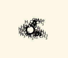 [2H]C1([2H])[C@H](C)C[C@@](C)(O)[C@H](OC2OC(C)CC(N(C)C)C2O)[C@@H](C)[C@H](OC2CC(C)(OC)C(O)C(C)O2)[C@@H](C)C(=O)O[C@H](CC)[C@@](C)(O)[C@H](O)[C@@H](C)N1C